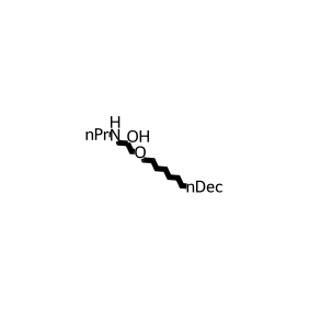 CCCCCCCCCCCCCCCCCOCC(O)CNCCC